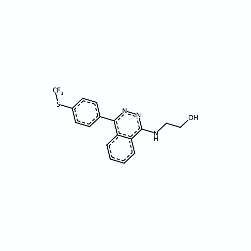 OCCNc1nnc(-c2ccc(SC(F)(F)F)cc2)c2ccccc12